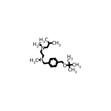 CC(C)CN(C)CCN(C)Cc1ccc(COC(C)(C)C)cc1